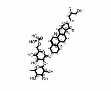 CC1OC(OC2C(O[C@H]3CC[C@@]4(C)C(=CC[C@@H]5C4CC[C@@]4(C)C5CC5O[C@H](CC[C@@H](C)CO)[C@@H](C)[C@@H]54)C3)OC(COP(=O)(O)O)C(O)C2O)C(O)C(O)C1O